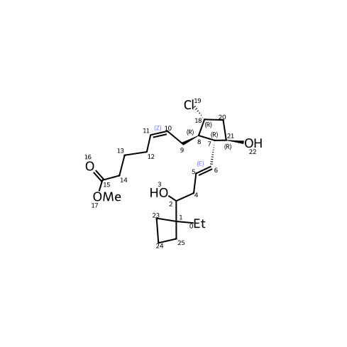 CCC1(C(O)C/C=C/[C@@H]2[C@@H](C/C=C\CCCC(=O)OC)[C@H](Cl)C[C@H]2O)CCC1